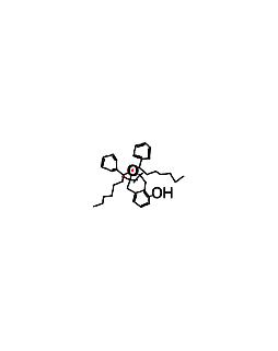 CCCCCCC(OC(C)(C)Cc1cccc(O)c1CC(C)(C)OC(CCCCCC)c1ccccc1)c1ccccc1